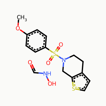 COc1ccc(S(=O)(=O)N2CCc3ccsc3C2)cc1.O=CNO